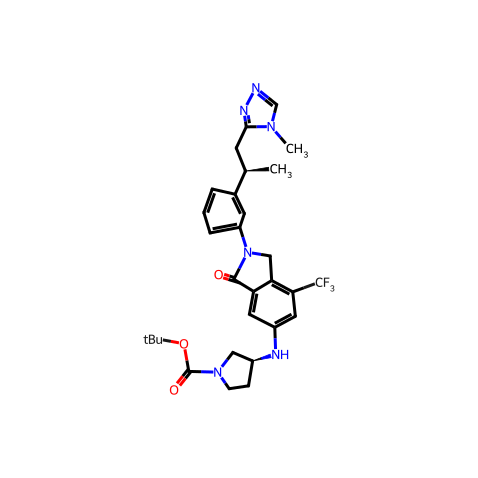 C[C@H](Cc1nncn1C)c1cccc(N2Cc3c(cc(N[C@H]4CCN(C(=O)OC(C)(C)C)C4)cc3C(F)(F)F)C2=O)c1